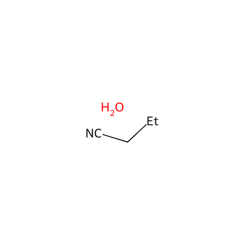 CCCC#N.O